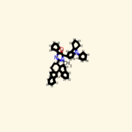 CN1C(C2CCc3cc4ccccc4cc3-c3c2ccc2ccccc32)=Nc2c(oc3ccccc23)C1c1ccc2c(c1)c1c(n2-c2ccccc2)CCC=C1